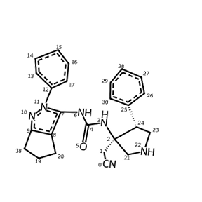 N#CC[C@@]1(NC(=O)Nc2c3c(nn2-c2ccccc2)CCC3)CNC[C@H]1c1ccccc1